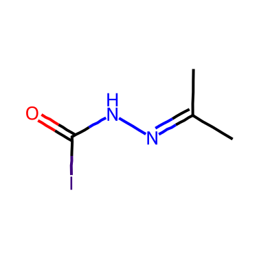 CC(C)=NNC(=O)I